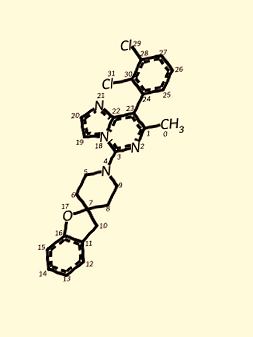 Cc1nc(N2CCC3(CC2)Cc2ccccc2O3)n2ccnc2c1-c1cccc(Cl)c1Cl